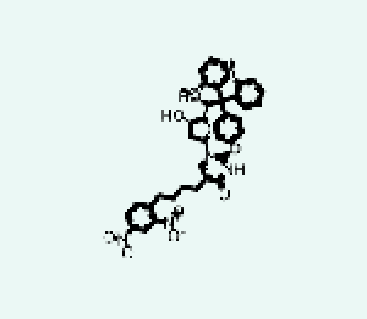 COc1ccccc1C(c1ccccc1)(c1ccccc1OC)C(O)[C@H]1O[C@@H](n2cc(CCCCc3ccc([N+](=O)[O-])cc3[N+](=O)[O-])c(=O)[nH]c2=O)C[C@@H]1O